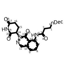 CCCCCCCCCCCCC(=O)Nc1cccc2cnn(C3CCC(=O)NC3=O)c(=O)c12